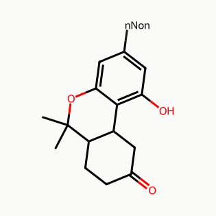 CCCCCCCCCc1cc(O)c2c(c1)OC(C)(C)C1CCC(=O)CC21